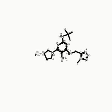 Cn1nnnc1CNc1nc(NC(C)(C)C)nc(N2CC[C@H](O)C2)c1N